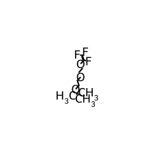 CC(C)(C)OCCOCCOC(F)=C(F)F